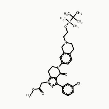 COC(=O)Cn1nc(-c2cccc(Cl)c2)c2c1CCN(c1ccc3c(c1)CN(CCO[Si](C)(C)C(C)(C)C)CC3)C2=O